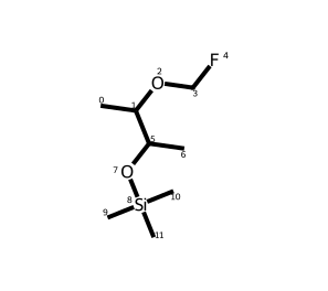 CC(OCF)C(C)O[Si](C)(C)C